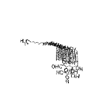 CCCCCCCCCC.CCCCCCCCCC.CCCCCCCCCC.CCCCCCCCCC.CCCCCCCCCC.CCCCCCCCCC.CCCCCCCCCC.CCCCCCCCCC.CCCCCCCCCC.CCCCCCCCCC.CCCCCCCCCC.CCCCCCCCCC.CCCCCCCCCCCC.O=C[C@H](O)[C@@H](O)[C@H](O)[C@H](O)CO.OCC(O)CO